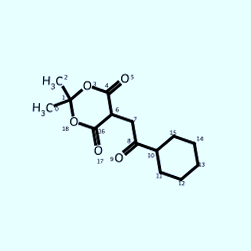 CC1(C)OC(=O)C(CC(=O)C2CCCCC2)C(=O)O1